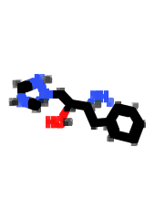 N[C@H](Cc1ccccc1)[C@@H](O)Cn1cncn1